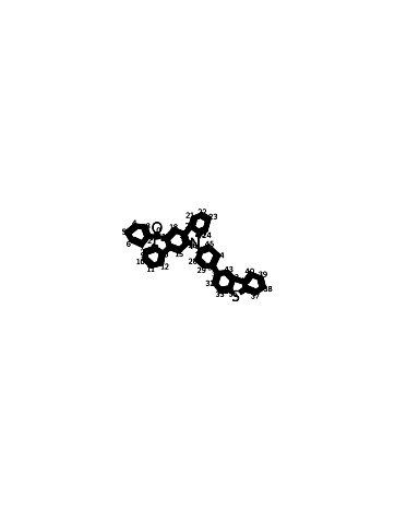 O=P1(c2ccccc2)c2ccccc2-c2cc3c(cc21)c1ccccc1n3-c1ccc(-c2ccc3sc4ccccc4c3c2)cc1